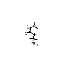 C[C@@H](C(=O)NC(C)(C)N)N(C)C